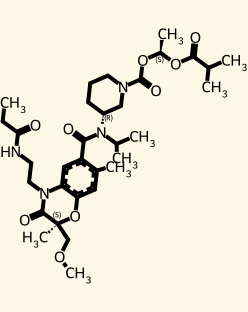 CCC(=O)NCCN1C(=O)[C@](C)(COC)Oc2cc(C)c(C(=O)N(C(C)C)[C@@H]3CCCN(C(=O)O[C@@H](C)OC(=O)C(C)C)C3)cc21